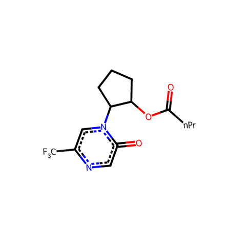 CCCC(=O)OC1CCCC1n1cc(C(F)(F)F)ncc1=O